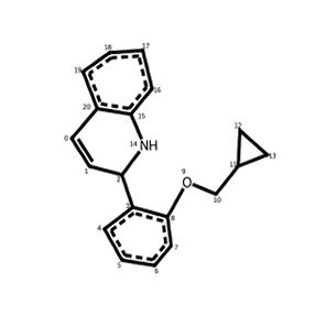 C1=CC(c2ccccc2OCC2CC2)Nc2ccccc21